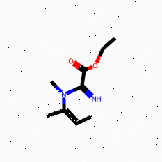 C/C=C(/C)N(C)C(=N)C(=O)OCC